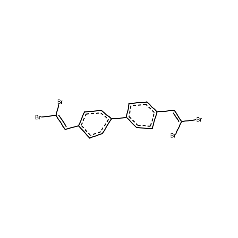 BrC(Br)=Cc1ccc(-c2ccc(C=C(Br)Br)cc2)cc1